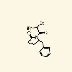 CCC(C(=O)N1C(=O)OCC1Cc1ccccc1)C(C)C